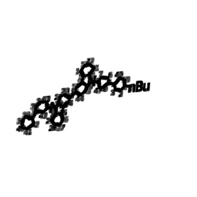 CCCCc1ccc(-c2ccc(-n3c4ccccc4c4cc(-c5ccc6c(c5)c5ccccc5n6-c5cccc(-c6ccccc6)c5)ccc43)cc2)cc1